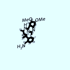 COc1cc2nc(C)nc(NC(C)c3cc(-c4ccccc4CN)cs3)c2cc1OC